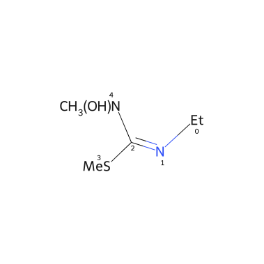 CC/N=C(/SC)N(C)O